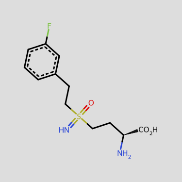 N=S(=O)(CCc1cccc(F)c1)CC[C@H](N)C(=O)O